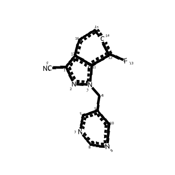 N#Cc1nn(Cc2cncnc2)c2c(F)cccc12